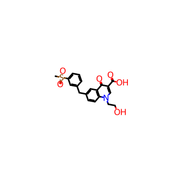 CS(=O)(=O)c1cccc(Cc2ccc3c(c2)c(=O)c(C(=O)O)cn3CCO)c1